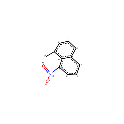 [CH2]c1cccc2cccc([N+](=O)[O-])c12